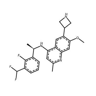 COc1cc2nc(C)cc(N[C@H](C)c3cccc(C(F)F)c3F)c2cc1C1CNC1